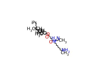 CC(C)CCC[C@@H](C)[C@H]1CC[C@H]2[C@@H]3CC=C4C[C@@H](OC(=O)CCCC(=O)N(CCCCCCCC(C)N)CCC(C)N)CC[C@]4(C)[C@H]3CC[C@]12C